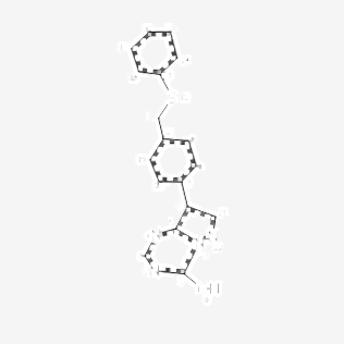 Oc1ncnc2c(-c3ccc(CSc4ccccc4)cc3)cnn12